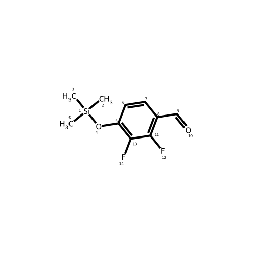 C[Si](C)(C)Oc1ccc(C=O)c(F)c1F